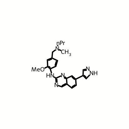 CCCN(C)Cc1ccc(Nc2ncc3ccc(-c4cn[nH]c4)cc3n2)c(OC)c1